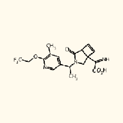 Cc1cc(C(C)N2CC3(C(=N)C(=O)O)C=CC3C2=O)cnc1OCC(F)(F)F